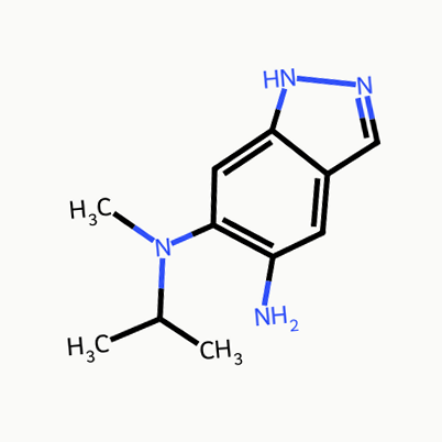 CC(C)N(C)c1cc2[nH]ncc2cc1N